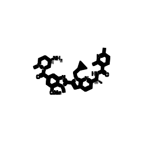 COc1cc(C(=O)N2C[C@H](N)CCN2C)cc2nc(-c3cc4ccc([C@@H](C)NC(=O)c5ccc(C)nc5C)nc4n3CC3CC3)n(C)c12